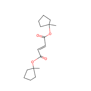 CC1(OC(=O)/C=C/C(=O)OC2(C)CCCC2)CCCC1